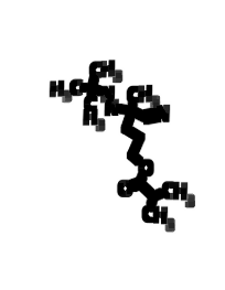 CC(C)C(=O)OCCCC(C)(C#N)N=NC(C)(C)C